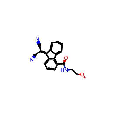 COCCNC(=O)c1cccc2c1-c1ccccc1C2=C(C#N)C#N